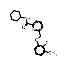 Cc1cccc(OCc2cccc(C(=O)NC3CCCCC3)n2)c1Cl